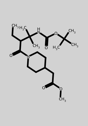 CCC(C(=O)N1CCC(CC(=O)OC)CC1)C(C)(C)NC(=O)OC(C)(C)C